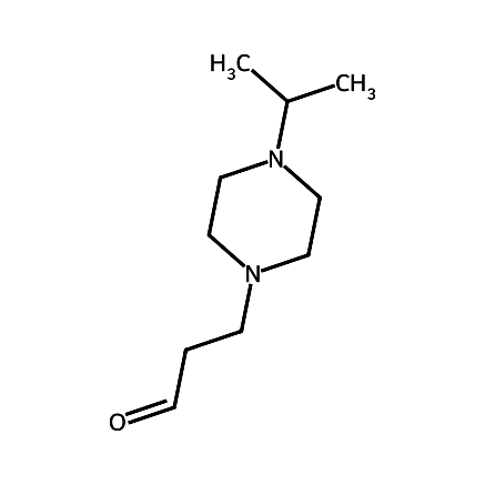 CC(C)N1CCN(CCC=O)CC1